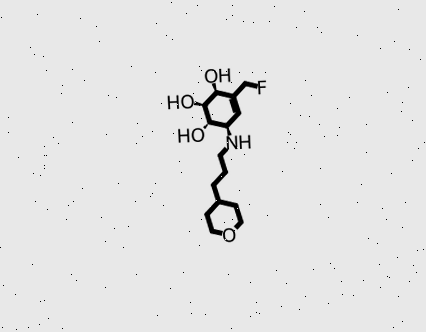 O[C@@H]1[C@@H](O)[C@@H](O)C(CF)=C[C@H]1NCCCC1CCOCC1